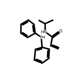 C=CC(=O)NC(C)C.c1ccc(Pc2ccccc2)cc1